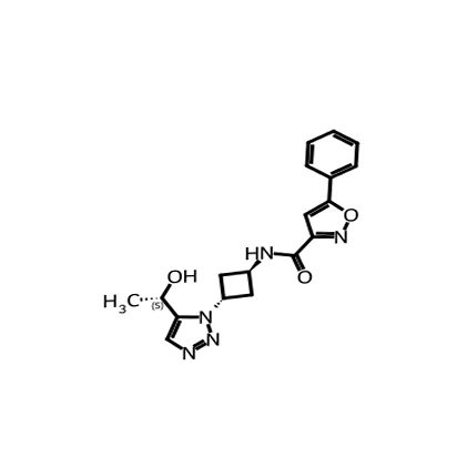 C[C@H](O)c1cnnn1[C@H]1C[C@H](NC(=O)c2cc(-c3ccccc3)on2)C1